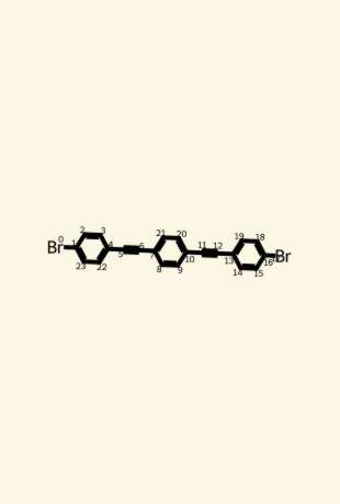 Brc1ccc(C#Cc2ccc(C#Cc3ccc(Br)cc3)cc2)cc1